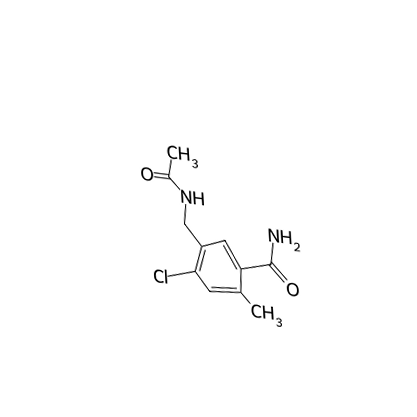 CC(=O)NCc1cc(C(N)=O)c(C)cc1Cl